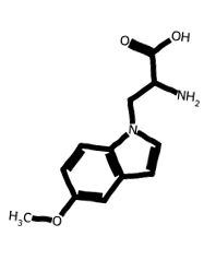 COc1ccc2c(ccn2CC(N)C(=O)O)c1